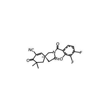 COc1c(C(=O)N2CC[C@@]3(C=C(C#N)C(=O)C(C)(C)C3)C2)ccc(F)c1F